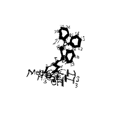 COC(=O)C[C@@H](CC(=O)C=P(c1ccccc1)(c1ccccc1)c1ccccc1)CC(C)(C)[Si](C)(C)O